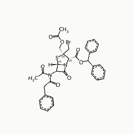 CC(=O)OC[C@@]1(CBr)S[C@H]2C(N(C(C)=O)C(=O)Cc3ccccc3)C(=O)N2[C@H]1C(=O)OC(c1ccccc1)c1ccccc1